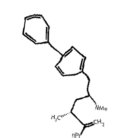 C=C(CCC)[C@H](C)CC(Cc1ccc(-c2ccccc2)cc1)NC